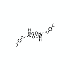 CCC(C)c1ccc(OCCCc2c[nH]c(OC(=O)C(=O)Oc3nc(CCCOc4ccc(C(C)CC)cc4)c[nH]3)n2)cc1